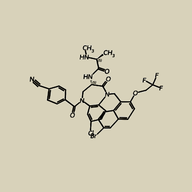 CN[C@@H](C)C(=O)N[C@H]1CN(C(=O)c2ccc(C#N)cc2)c2cc(Cl)ccc2N(Cc2c(OCC(F)(F)F)ccc3cc(Br)ccc23)C1=O